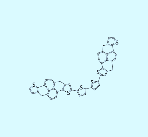 c1cc2c(s1)-c1ccc3c4c(ccc(c14)C2)-c1sc(-c2ccc(-c4ccc(-c5cc6c(s5)-c5ccc7c8c(ccc(c58)C6)-c5sccc5C7)s4)s2)cc1C3